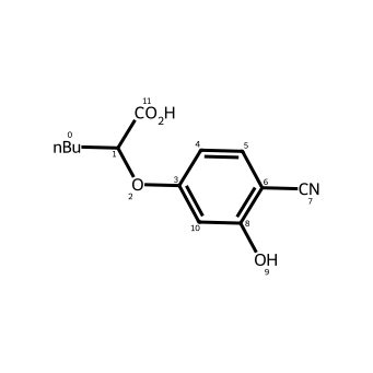 CCCCC(Oc1ccc(C#N)c(O)c1)C(=O)O